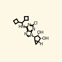 O[C@@H]1[C@H](O)[C@@H]2CC2[C@H]1n1cnc2c(NC(C3CCC3)C3CCC3)nc(Cl)nc21